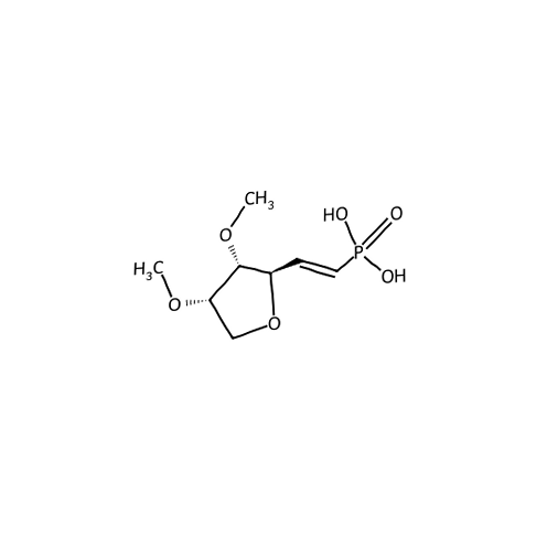 CO[C@H]1[C@@H](OC)CO[C@@H]1/C=C/P(=O)(O)O